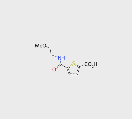 COCCNC(=O)c1ccc(C(=O)O)s1